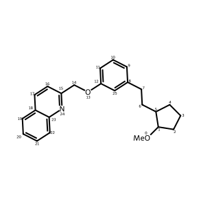 COC1CCCC1CCc1cccc(OCc2ccc3ccccc3n2)c1